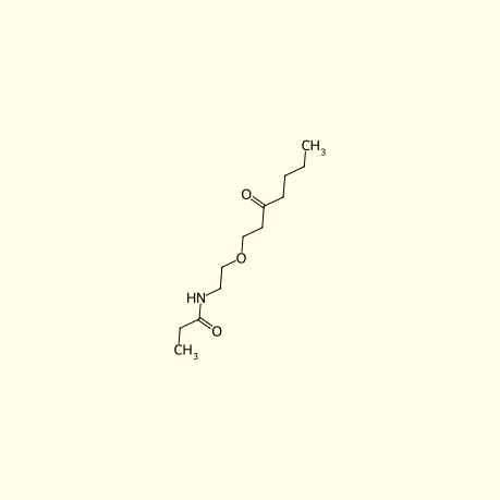 CCCCC(=O)CCOCCNC(=O)CC